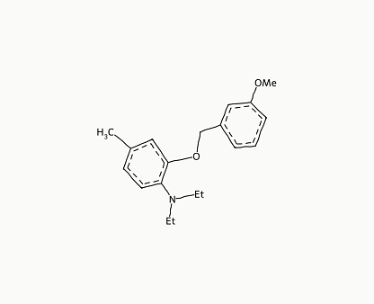 CCN(CC)c1ccc(C)cc1OCc1cccc(OC)c1